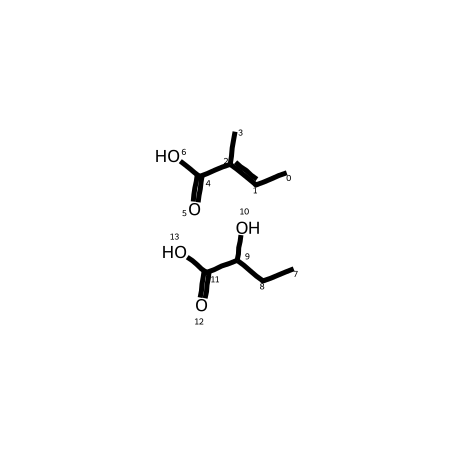 C/C=C(\C)C(=O)O.CCC(O)C(=O)O